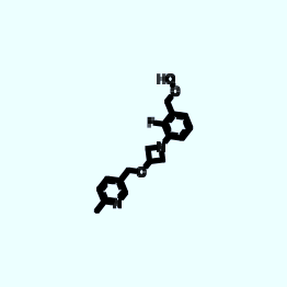 Cc1ccc(COC2CN(c3cccc(COO)c3F)C2)cn1